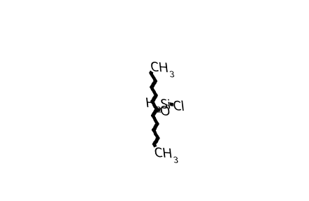 CCCCCCC(CCCCCC)O[SiH2]Cl